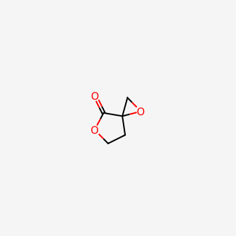 O=C1OCCC12CO2